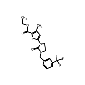 CCOC(=O)c1sc(N2CCN(Cc3cccc(C(F)(F)F)c3)C2=O)nc1C